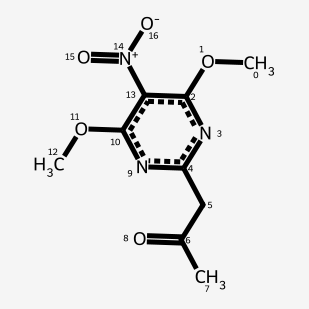 COc1nc(CC(C)=O)nc(OC)c1[N+](=O)[O-]